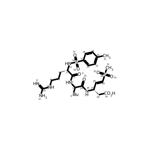 CCC(C)C(NC(=O)[C@H](CCCNC(=N)N)NS(=O)(=O)c1ccc(C)cc1)C(=O)N[C@H](/C=C/S(C)(=O)=O)CC(=O)O